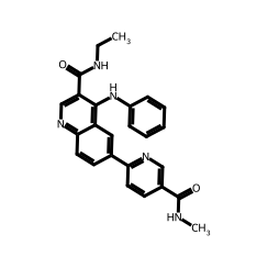 CCNC(=O)c1cnc2ccc(-c3ccc(C(=O)NC)cn3)cc2c1Nc1ccccc1